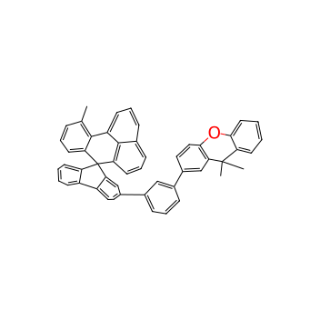 Cc1cccc2c1-c1cccc3cccc(c13)C21c2ccccc2-c2ccc(-c3cccc(-c4ccc5c(c4)C(C)(C)c4ccccc4O5)c3)cc21